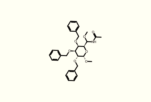 COC(NC(C)=O)[C@H]1O[C@H](OC)[C@H](OCc2ccccc2)[C@@H](OCc2ccccc2)[C@H]1OCc1ccccc1